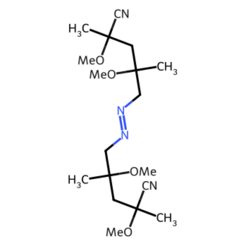 COC(C)(C#N)CC(C)(CN=NCC(C)(CC(C)(C#N)OC)OC)OC